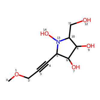 COCC#CC1C(O)C(O)C(CO)N1O